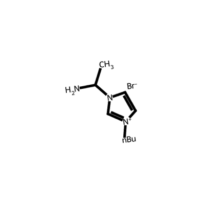 CCCC[n+]1ccn(C(C)N)c1.[Br-]